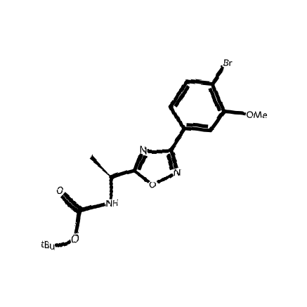 COc1cc(-c2noc([C@H](C)NC(=O)OC(C)(C)C)n2)ccc1Br